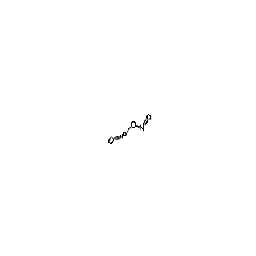 O=NOP=O